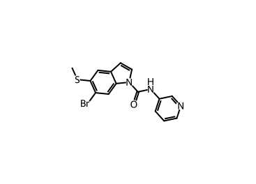 CSc1cc2ccn(C(=O)Nc3cccnc3)c2cc1Br